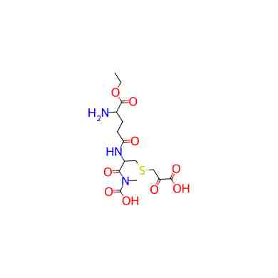 CCOC(=O)C(N)CCC(=O)NC(CSCC(=O)C(=O)O)C(=O)N(C)C(=O)O